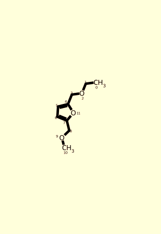 CCOCc1ccc(COC)o1